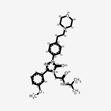 COc1cccc(-c2nn(-c3ccc(CCN4CCOCC4)cc3)c(=O)n2CC(=O)NC(C)C)c1